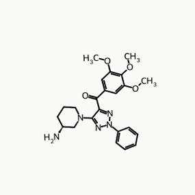 COc1cc(C(=O)c2nn(-c3ccccc3)nc2N2CCC[C@H](N)C2)cc(OC)c1OC